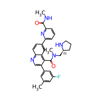 CNC(=O)c1cccc(-c2ccc3ncc(-c4cc(C)cc(F)c4)c(C(=O)N(C)C[C@@H]4CCCN4)c3c2)n1